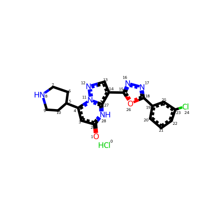 Cl.O=c1cc(C2CCNCC2)n2ncc(-c3nnc(-c4cccc(Cl)c4)o3)c2[nH]1